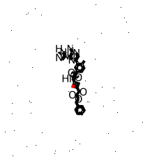 Cc1ccc(S(=O)(=O)NC23CC(C(=O)C(=O)OCc4ccccc4)(C2)C3)cc1-c1cnc(N)c(-n2cncn2)n1